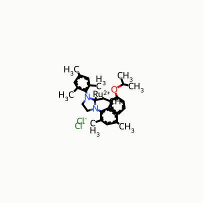 Cc1cc(C)c(N2CCN(c3c(C)cc(C)cc3C)[C]23[Ru+2]=[C]3c2ccccc2OC(C)C)c(C)c1.[Cl-].[Cl-]